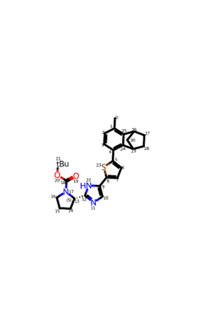 Cc1ccc(-c2ccc(-c3cnc([C@@H]4CCCN4C(=O)OC(C)(C)C)[nH]3)s2)c2c1C1CCC2C1